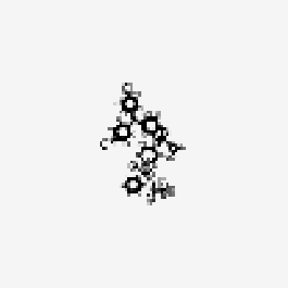 O=C(Oc1ccccc1S(=O)(=O)N1CCC(n2c(C3CC3)nc3ccc(C(c4ccc(Cl)cc4)c4ccc(Cl)cc4)cc32)CC1)C(F)(F)F